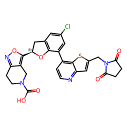 O=C(O)N1CCc2noc([C@H]3Cc4cc(Cl)cc(-c5ccnc6cc(CN7C(=O)CCC7=O)sc56)c4O3)c2C1